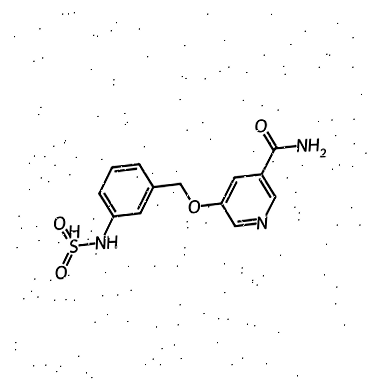 NC(=O)c1cncc(OCc2cccc(N[SH](=O)=O)c2)c1